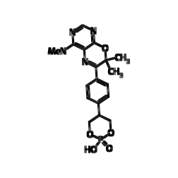 CNc1ncnc2c1N=C(c1ccc(C3COP(=O)(O)OC3)cc1)C(C)(C)O2